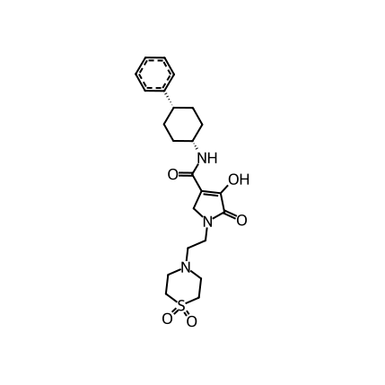 O=C(N[C@H]1CC[C@@H](c2ccccc2)CC1)C1=C(O)C(=O)N(CCN2CCS(=O)(=O)CC2)C1